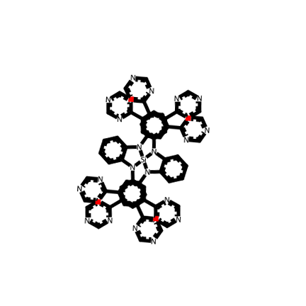 c1ccc2c(c1)N(c1cc(-c3ncncn3)cc(-c3ncncn3)c1)[Si]1(N2c2cc(-c3ncncn3)cc(-c3ncncn3)c2)N(c2cc(-c3ncncn3)cc(-c3ncncn3)c2)c2ccccc2N1c1cc(-c2ncncn2)cc(-c2ncncn2)c1